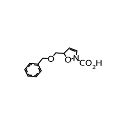 O=C(O)N1C=CC(COCc2ccccc2)O1